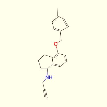 C#CCNC1CCCc2c(OCc3ccc(C)cc3)cccc21